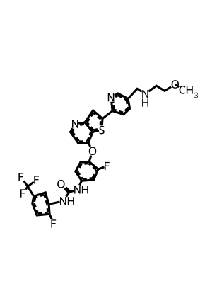 COCCNCc1ccc(-c2cc3nccc(Oc4ccc(NC(=O)Nc5cc(C(F)(F)F)ccc5F)cc4F)c3s2)nc1